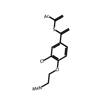 C=C(SC(=C)c1ccc(OCCNC)c(Cl)c1)C(C)=O